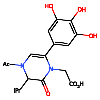 CC(=O)N1C=C(c2cc(O)c(O)c(O)c2)N(CC(=O)O)C(=O)C1C(C)C